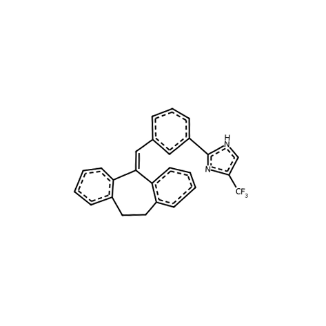 FC(F)(F)c1c[nH]c(-c2cccc(C=C3c4ccccc4CCc4ccccc43)c2)n1